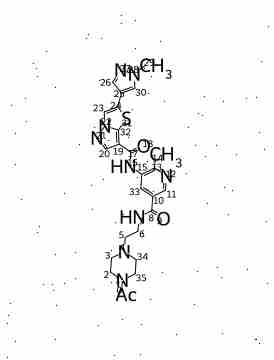 CC(=O)N1CCN(CCNC(=O)c2cnc(C)c(NC(=O)c3cnn4cc(-c5cnn(C)c5)sc34)c2)CC1